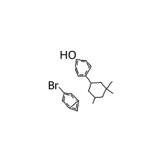 Brc1cc2cc-2c1.CC1CC(c2ccc(O)cc2)CC(C)(C)C1